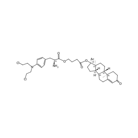 CC(=O)[C@@]1(OC(=O)CCCOC(=O)[C@@H](N)Cc2ccc(N(CCCl)CCCl)cc2)CC[C@H]2[C@@H]3CCC4=CC(=O)CC[C@]4(C)[C@H]3CC[C@@]21C